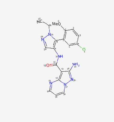 COc1ccc(Cl)cc1-c1c(NC(=O)c2c(N)nn3cccnc23)cnn1CC#N